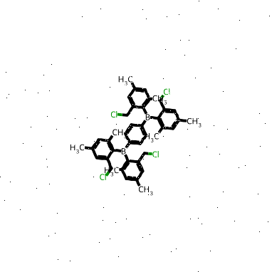 Cc1cc(C)c(B(c2ccc(B(c3c(C)cc(C)cc3CCl)c3c(C)cc(C)cc3CCl)cc2)c2c(C)cc(C)cc2CCl)c(CCl)c1